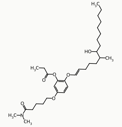 CCCCCCCCC(O)C(C)CCCC=COc1ccc(OCCCCC(=O)N(C)C)cc1OC(=O)CC